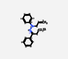 C=CCN(/N=C(\CC(=O)OCC)c1ccccc1)c1ccccc1